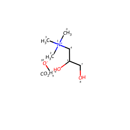 C[N+](C)(C)CC(O)CO.O=C([O-])O